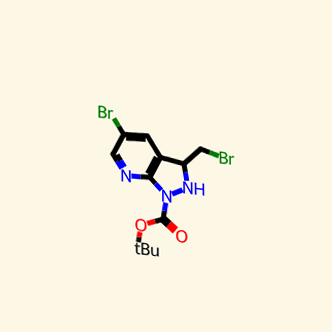 CC(C)(C)OC(=O)N1NC(CBr)c2cc(Br)cnc21